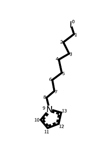 ICCCCCCCCn1cccc1